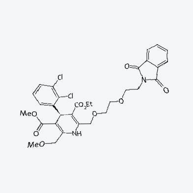 CCOC(=O)C1=C(COCCOCCN2C(=O)c3ccccc3C2=O)NC(COC)=C(C(=O)OC)[C@H]1c1cccc(Cl)c1Cl